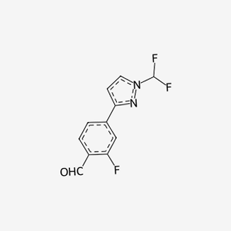 O=Cc1ccc(-c2ccn(C(F)F)n2)cc1F